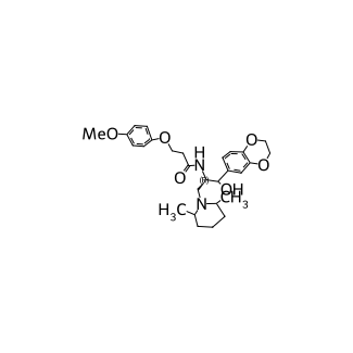 COc1ccc(OCCC(=O)N[C@H](CN2C(C)CCCC2C)C(O)c2ccc3c(c2)OCCO3)cc1